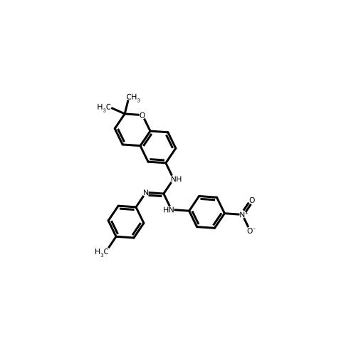 Cc1ccc(N=C(Nc2ccc([N+](=O)[O-])cc2)Nc2ccc3c(c2)C=CC(C)(C)O3)cc1